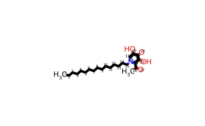 CCCCCCCCCCCCCCCCn1cc(O)c(=O)c(O)c1C(C)=O